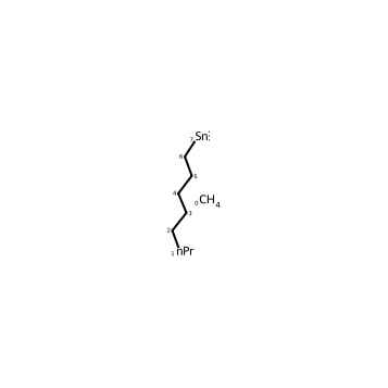 C.CCCCCCC[CH2][Sn]